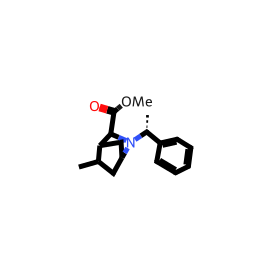 COC(=O)C1C2CC(CC2C)N1[C@H](C)c1ccccc1